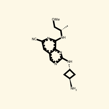 COC[C@H](C)Nc1nc(C#N)cc2cnc(N[C@H]3C[C@H](N)C3)nc12